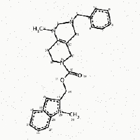 CN1CN(Cc2ccccc2)CC2=C1CCN(C(=O)OCc1cc3ccccc3n1C)C2